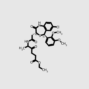 CCOC(=O)CCC(=O)C(C)NC(=O)C[C@H]1S[C@H](c2cccc(OC)c2OC)c2cc(Cl)ccc2NC1=O